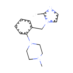 CCc1nccn1Cc1ccccc1N1CCN(C)CC1